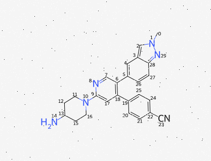 Cn1cc2cc(-c3cnc(N4CCC(N)CC4)cc3-c3ccc(C#N)cc3)ccc2n1